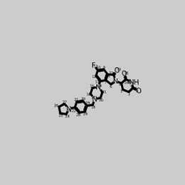 O=C1CCC(N2Cc3c(cc(F)cc3N3CCN(Cc4ccc(N5CCCC5)cc4)CC3)C2=O)C(=O)N1